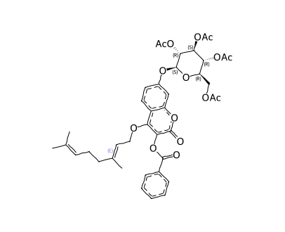 CC(=O)OC[C@H]1O[C@@H](Oc2ccc3c(OC/C=C(\C)CCC=C(C)C)c(OC(=O)c4ccccc4)c(=O)oc3c2)[C@H](OC(C)=O)[C@@H](OC(C)=O)[C@@H]1OC(C)=O